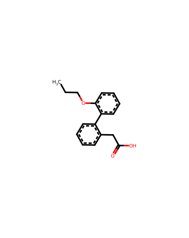 CCCOc1ccccc1-c1ccccc1CC(=O)O